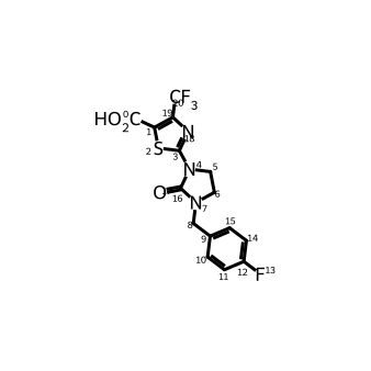 O=C(O)c1sc(N2CCN(Cc3ccc(F)cc3)C2=O)nc1C(F)(F)F